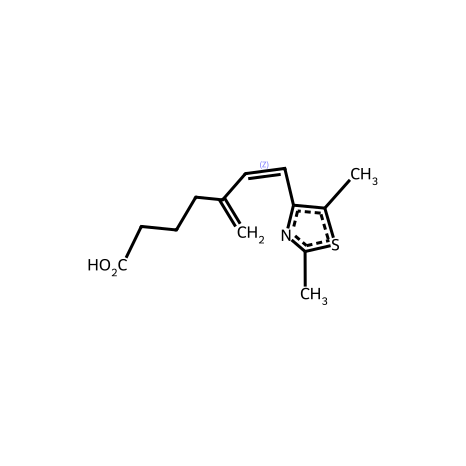 C=C(/C=C\c1nc(C)sc1C)CCCC(=O)O